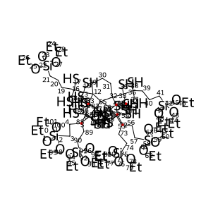 CCO[Si](CCCC(S)(S)C(S)(S)C1(C(S)(S)C(S)(S)CCC[Si](OCC)(OCC)OCC)CCCC(C(S)(S)C(S)(S)CCC[Si](OCC)(OCC)OCC)(C(S)(S)C(S)(S)CCC[Si](OCC)(OCC)OCC)C1(C(S)(S)C(S)(S)CCC[Si](OCC)(OCC)OCC)C(S)(S)C(S)(S)CCC[Si](OCC)(OCC)OCC)(OCC)OCC